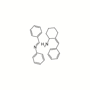 C(=Nc1ccccc1)c1ccccc1.NC1CCCCC1=Cc1ccccc1